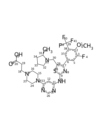 COc1c(F)cc(-c2nc(Nc3cc(N4CCN(CCC(=O)O)CC4)ncn3)sc2CN2CCC[C@H]2C)cc1C(F)(F)F